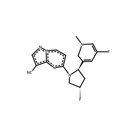 CN1C=C(F)C=C([C@H]2C[C@H](F)CN2c2ccn3ncc(C#N)c3n2)C1